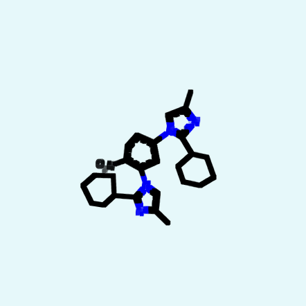 Cc1cn(-c2ccc([N+](=O)[O-])c(-n3cc(C)nc3C3CCCCC3)c2)c(C2CCCCC2)n1